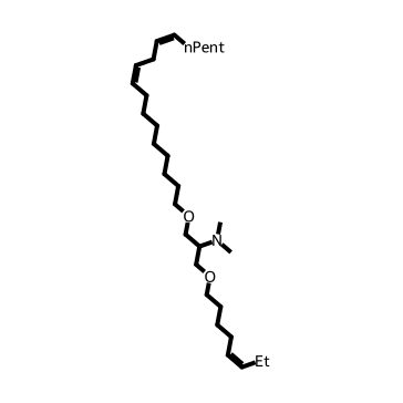 CC/C=C\CCCCOCC(COCCCCCCCC/C=C\C/C=C\CCCCC)N(C)C